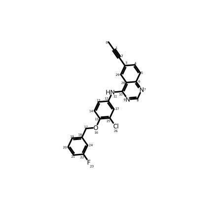 CC#Cc1ccc2ncnc(Nc3ccc(OCc4cccc(F)c4)c(Cl)c3)c2c1